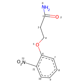 NC(=O)CCOc1ccccc1[N+](=O)[O-]